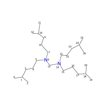 CC(C)CCCN(CCCC(C)C)CN(CCCC(C)C)CCCC(C)C